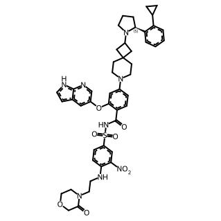 O=C(NS(=O)(=O)c1ccc(NCCN2CCOCC2=O)c([N+](=O)[O-])c1)c1ccc(N2CCC3(CC2)CC(N2CCC[C@H]2c2ccccc2C2CC2)C3)cc1Oc1cnc2[nH]ccc2c1